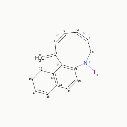 C=C1/C=C\C=C/CN(I)c2ccc3c(c21)CCC=C3